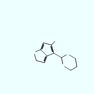 OC1=C(C2SCCCS2)C2=CCOC2=C1